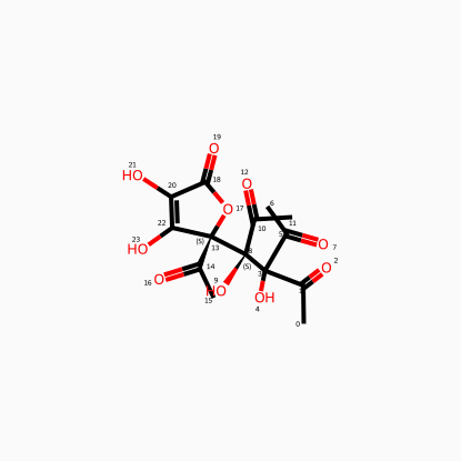 CC(=O)C(O)(C(C)=O)[C@@](O)(C(C)=O)[C@@]1(C(C)=O)OC(=O)C(O)=C1O